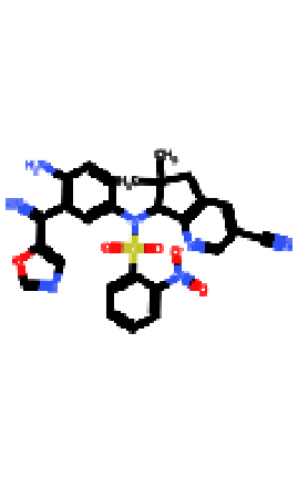 CC1(C)Cc2cc(C#N)cnc2C1N(c1ccc(N)c(C(=N)c2cnco2)c1)S(=O)(=O)c1ccccc1[N+](=O)[O-]